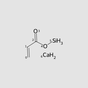 C=CC(=O)O[SiH3].[CaH2]